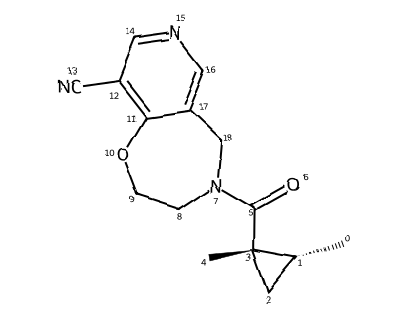 C[C@@H]1C[C@]1(C)C(=O)N1CCOc2c(C#N)cncc2C1